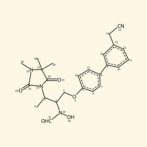 CC(C(COc1ccc(-c2cccc(CC#N)c2)cc1)N(O)C=O)N1C(=O)N(C)C(C)(C)C1=O